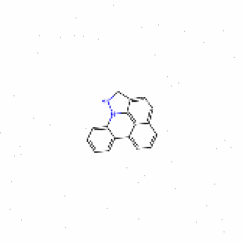 c1ccc2c(c1)-c1cccc3ccc4c(c13)N2NC4